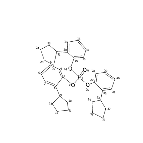 O=P(Oc1ccccc1C1CCCC1)(Oc1ccccc1C1CCCC1)Oc1ccccc1C1CCCC1